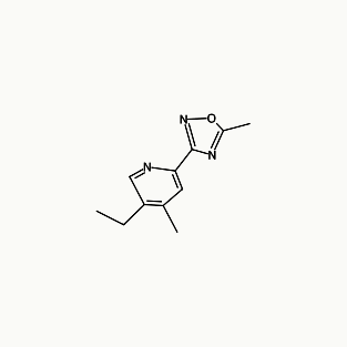 CCc1cnc(-c2noc(C)n2)cc1C